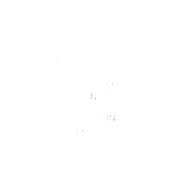 O=C(C1CCCN1)N(c1ccc(F)cc1)C1COC1